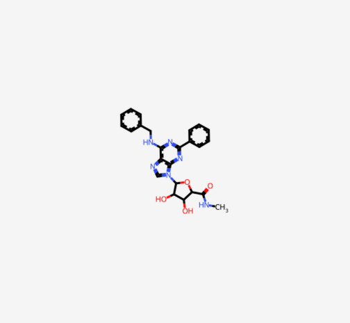 CNC(=O)C1OC(n2cnc3c(NCc4ccccc4)nc(-c4ccccc4)nc32)C(O)C1O